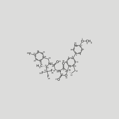 COc1ccc(-c2ccc3c(c2)CC[C@@]32OC(=O)N(CC(=O)N(Cc3ccc(F)cc3)[C@@H](C)C(F)(F)F)C2=O)cn1